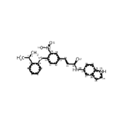 CC(C)c1ccccc1Sc1ccc(C=CC(=O)Nc2ccc3[nH]ccc3c2)cc1[N+](=O)[O-]